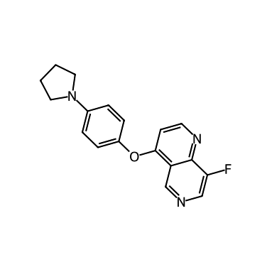 Fc1cncc2c(Oc3ccc(N4CCCC4)cc3)ccnc12